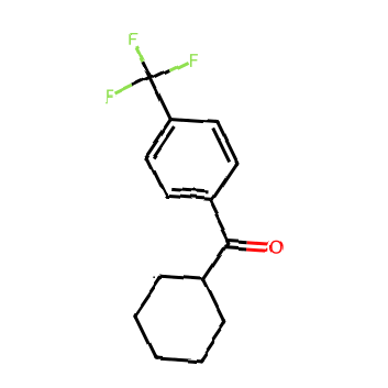 O=C(c1ccc(C(F)(F)F)cc1)C1[CH]CCCC1